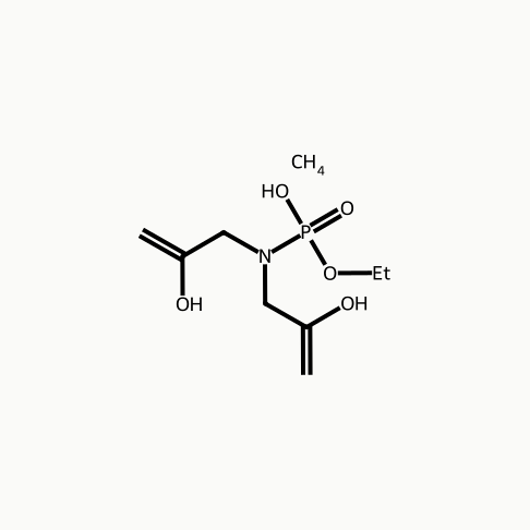 C.C=C(O)CN(CC(=C)O)P(=O)(O)OCC